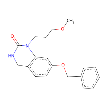 COCCCN1C(=O)NCc2ccc(OCc3ccccc3)cc21